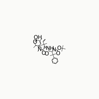 C=CC(C)(C)[C@H](NC(=O)C(N(C)C(=O)OC(C)(C)C)C(C)(C)c1ccccc1)C(=O)N(C)[C@H](C=C(C)C(=O)O)C(C)C